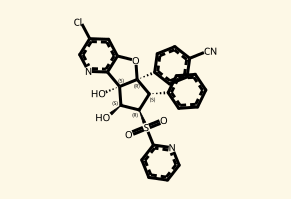 N#Cc1ccc([C@@]23Oc4cc(Cl)cnc4[C@]2(O)[C@H](O)[C@H](S(=O)(=O)c2ccccn2)[C@H]3c2ccccc2)cc1